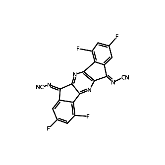 N#C/N=c1\c2cc(F)cc(F)c2c2nc3/c(=N/C#N)c4cc(F)cc(F)c4c3nc12